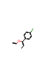 C=CO/C(=C\C)c1ccc(F)cc1